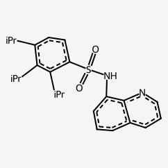 CC(C)c1ccc(S(=O)(=O)Nc2cccc3cccnc23)c(C(C)C)c1C(C)C